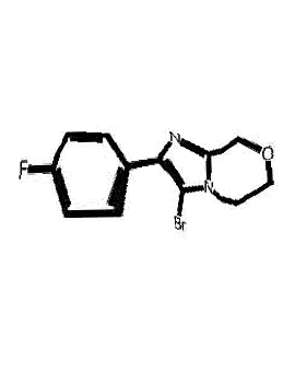 Fc1ccc(-c2nc3n(c2Br)CCOC3)cc1